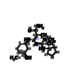 C=N/C(=N\C(N[C@@H]1CC[C@@H](C)[C@H](O)C1)=C(/C)C(N)=O)NC1(C)CCCC1